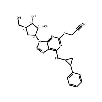 C#CCSc1nc(NC2CC2c2ccccc2)c2nnn([C@H]3C[C@@H](CO)[C@H](O)[C@@H]3O)c2n1